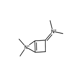 C[N+](C)=C1CC2=C1[N+]2(C)C